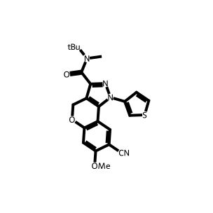 COc1cc2c(cc1C#N)-c1c(c(C(=O)N(C)C(C)(C)C)nn1-c1ccsc1)CO2